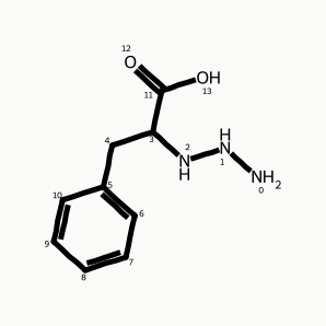 NNNC(Cc1ccccc1)C(=O)O